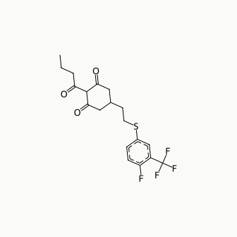 CCCC(=O)C1C(=O)CC(CCSc2ccc(F)c(C(F)(F)F)c2)CC1=O